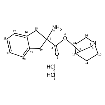 Cl.Cl.NC1(C(=O)OC2CN3CCC2CC3)Cc2ccccc2C1